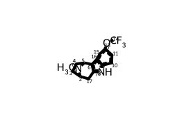 CN1C2CCC1c1c([nH]c3ccc(OC(F)(F)F)cc13)C2